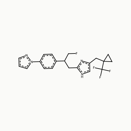 FCC(Cc1nc(CC2(C(F)(F)F)CC2)c[nH]1)c1ccc(-n2cccn2)cc1